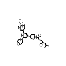 CC(C)=CC(=O)CCC(=O)N1CCC(c2cc(-c3cnc(N)nc3)nc(N3CCOCC3)c2)CC1